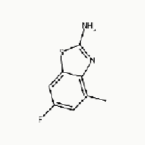 Cc1cc(F)cc2sc(N)nc12